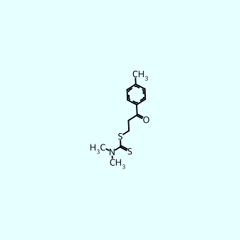 Cc1ccc(C(=O)CCSC(=S)N(C)C)cc1